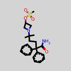 CC(C)(CCC(C(N)=O)(c1ccccc1)c1ccccc1)N1CC(OS(C)(=O)=O)C1